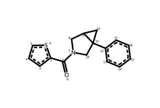 O=C(c1cccs1)N1CC2CC2(c2ccccc2)C1